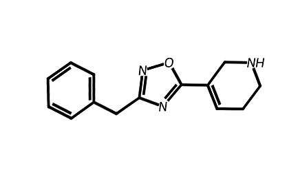 C1=C(c2nc(Cc3ccccc3)no2)CNCC1